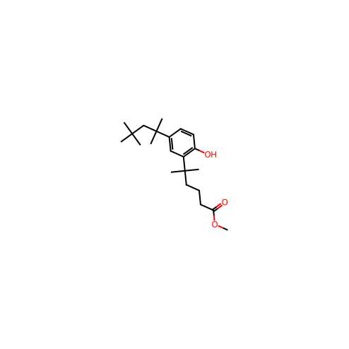 COC(=O)CCCC(C)(C)c1cc(C(C)(C)CC(C)(C)C)ccc1O